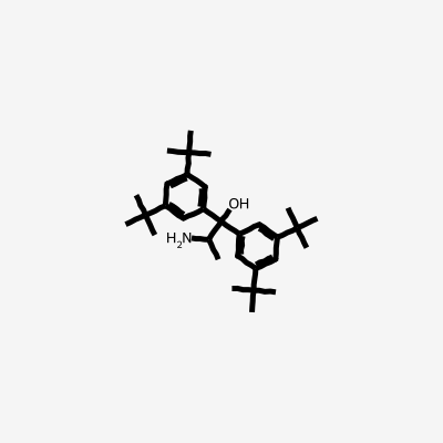 CC(N)C(O)(c1cc(C(C)(C)C)cc(C(C)(C)C)c1)c1cc(C(C)(C)C)cc(C(C)(C)C)c1